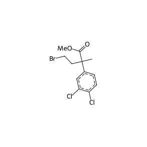 COC(=O)C(C)(CCBr)c1ccc(Cl)c(Cl)c1